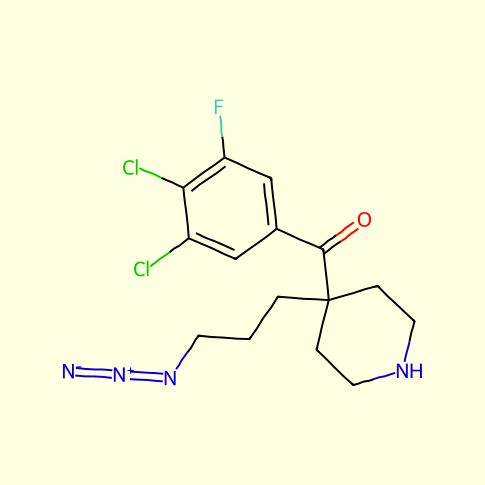 [N-]=[N+]=NCCCC1(C(=O)c2cc(F)c(Cl)c(Cl)c2)CCNCC1